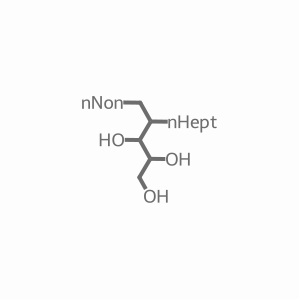 CCCCCCCCCCC(CCCCCCC)C(O)C(O)CO